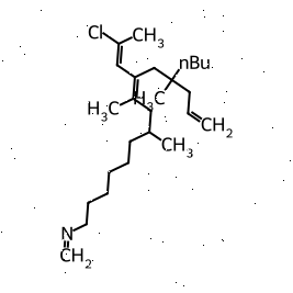 C=CCC(C)(CCCC)CC(/C=C(\C)Cl)=C(/C)CC(C)CCCCCCN=C